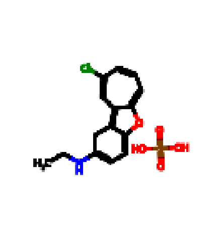 CCNC1=CC=c2oc3c(c2C1)C=C(Cl)C=CC=3.O=S(=O)(O)O